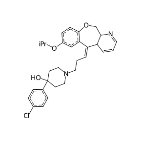 CC(C)Oc1ccc2c(c1)C(=CCCN1CCC(O)(c3ccc(Cl)cc3)CC1)C1C=CC=NC1CO2